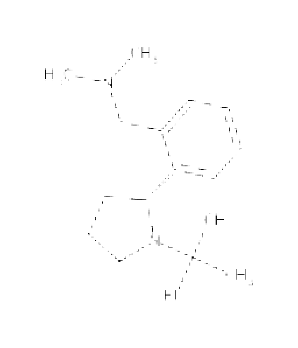 CCC(C)(C)N1CCC[C@@H]1c1ccccc1CN(C)C